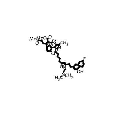 CCn1c(C(=O)OC)c(CCC(=O)OC)c2ccc(Cl)c(-c3c(C)c(C)nn3CCCCCc3cc(CCc4cc(O)c5ccc(F)cc5c4)n(CCN(C)C)n3)c21